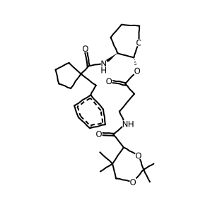 CC1(C)OCC(C)(C)C(C(=O)NCCC(=O)O[C@H]2CCCC[C@@H]2NC(=O)C2(Cc3ccccc3)CCCC2)O1